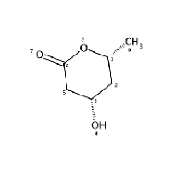 C[C@@H]1C[C@H](O)CC(=O)O1